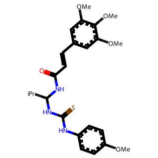 COc1ccc(NC(=S)NC(NC(=O)C=Cc2cc(OC)c(OC)c(OC)c2)C(C)C)cc1